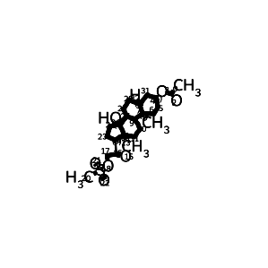 CC(=O)O[C@H]1CC[C@]2(C)C3CC[C@]4(C)[C@@H](C(=O)COS(C)(=O)=O)CC[C@]4(O)C3CC[C@@H]2C1